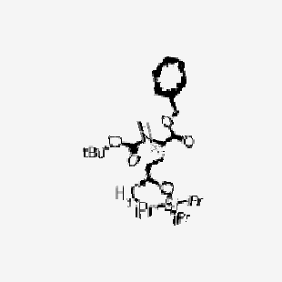 CC(CC[C@H](NC(=O)OC(C)(C)C)C(=O)OCc1ccccc1)O[Si](C(C)C)(C(C)C)C(C)C